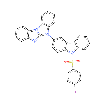 O=S(=O)(c1ccc(I)cc1)n1c2ccccc2c2cc(-n3c4ccccc4n4c5ccccc5nc34)ccc21